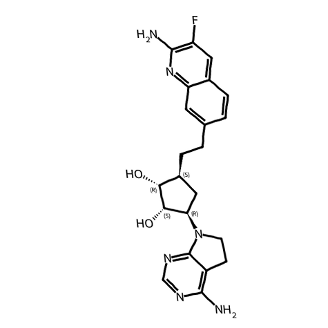 Nc1nc2cc(CC[C@H]3C[C@@H](N4CCc5c(N)ncnc54)[C@H](O)[C@@H]3O)ccc2cc1F